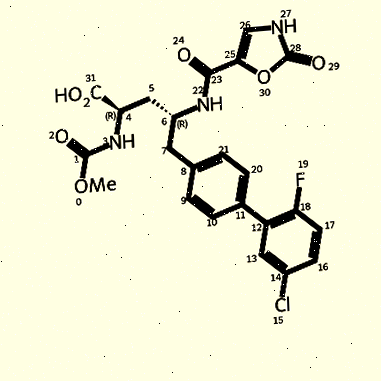 COC(=O)N[C@H](C[C@@H](Cc1ccc(-c2cc(Cl)ccc2F)cc1)NC(=O)c1c[nH]c(=O)o1)C(=O)O